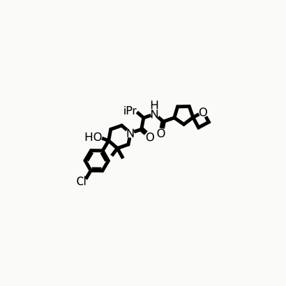 CC(C)C(NC(=O)C1CCC2(CCO2)C1)C(=O)N1CCC(O)(c2ccc(Cl)cc2)C(C)(C)C1